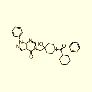 O=C([C@@H]1CCCC[C@H]1c1ccccc1)N1CCC(O)(Cn2cnc3c(cnn3-c3ccccc3)c2=O)CC1